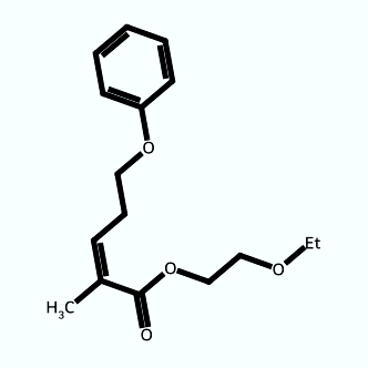 CCOCCOC(=O)C(C)=CCCOc1ccccc1